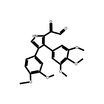 COc1ccc(-c2c[nH]c(C(=O)C=O)c2-c2cc(OC)c(OC)c(OC)c2)cc1OC